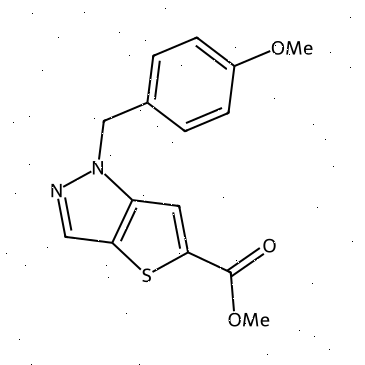 COC(=O)c1cc2c(cnn2Cc2ccc(OC)cc2)s1